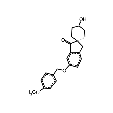 COc1ccc(COc2ccc3c(c2)C(=O)[C@]2(CC[C@H](O)CC2)C3)cc1